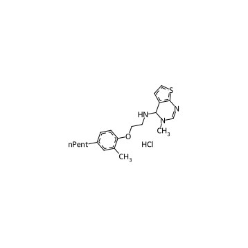 CCCCCc1ccc(OCCNC2c3ccsc3N=CN2C)c(C)c1.Cl